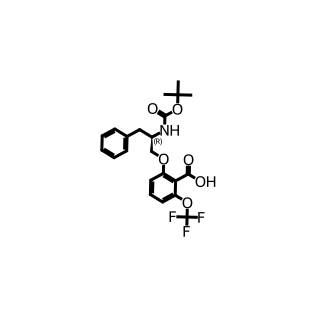 CC(C)(C)OC(=O)N[C@@H](COc1cccc(OC(F)(F)F)c1C(=O)O)Cc1ccccc1